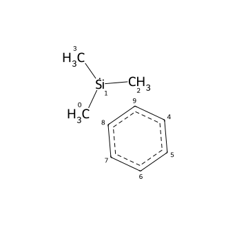 C[Si](C)C.c1ccccc1